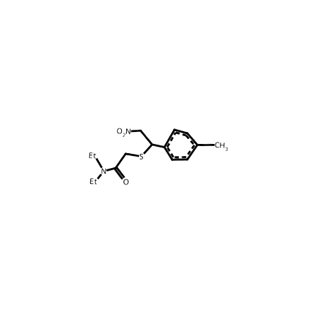 CCN(CC)C(=O)CSC(C[N+](=O)[O-])c1ccc(C)cc1